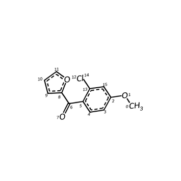 COc1ccc(C(=O)c2ccco2)c(Cl)c1